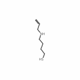 C=CCNCCCCS